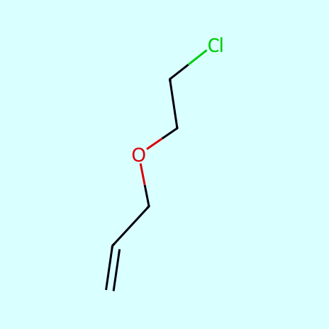 C=CCOCCCl